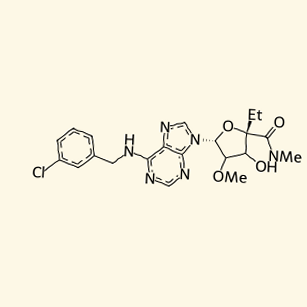 CC[C@]1(C(=O)NC)O[C@@H](n2cnc3c(NCc4cccc(Cl)c4)ncnc32)C(OC)C1O